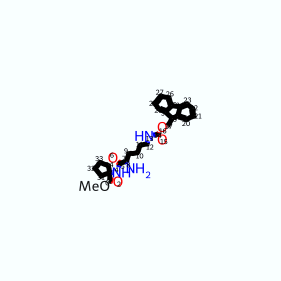 COC(=O)C1(NC(=O)C(N)CCCCNC(=O)OCC2c3ccccc3-c3ccccc32)CCCC1